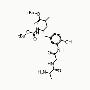 CC(N)C(=O)NCC(=O)Nc1cc(C[C@@H](CC(C)C(=O)OC(C)(C)C)NC(=O)OC(C)(C)C)ccc1O